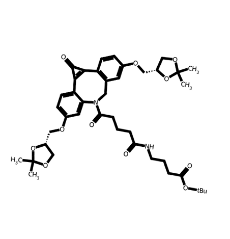 CC(C)(C)OC(=O)CCCNC(=O)CCCC(=O)N1Cc2cc(OC[C@@H]3COC(C)(C)O3)ccc2-c2c(c2=O)-c2ccc(OC[C@@H]3COC(C)(C)O3)cc21